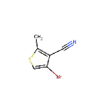 Cc1scc(Br)c1C#N